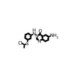 CC(Cl)Sc1cccc(Nn2cnc3ccc(N)cc3c2=O)c1